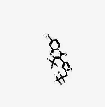 Nc1ccn2c(=O)c(-c3cnn(CC(F)(F)C(F)(F)F)c3)c(C(F)(F)F)nc2c1